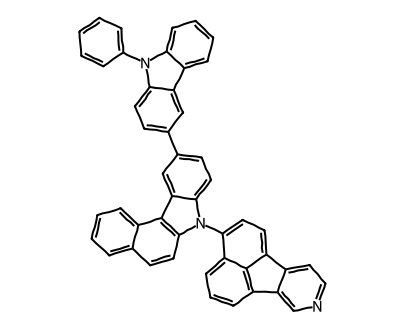 c1ccc(-n2c3ccccc3c3cc(-c4ccc5c(c4)c4c6ccccc6ccc4n5-c4ccc5c6c(cccc46)-c4cnccc4-5)ccc32)cc1